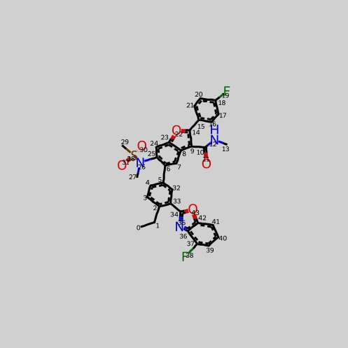 CCc1ccc(-c2cc3c(C(=O)NC)c(-c4ccc(F)cc4)oc3cc2N(C)S(C)(=O)=O)cc1-c1nc2c(F)cccc2o1